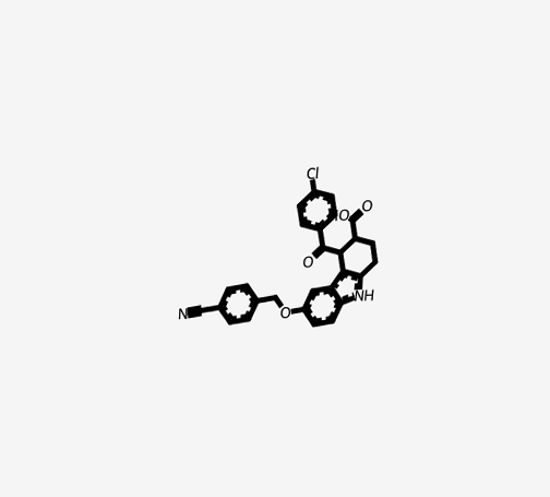 N#Cc1ccc(COc2ccc3[nH]c4c(c3c2)C(C(=O)c2ccc(Cl)cc2)C(C(=O)O)CC4)cc1